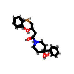 O=C(CC1CSc2ccccc2O1)N1CCC(O)(c2ccccc2)CC1